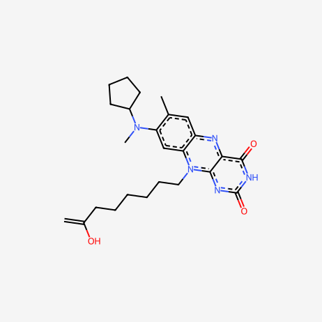 C=C(O)CCCCCCn1c2nc(=O)[nH]c(=O)c-2nc2cc(C)c(N(C)C3CCCC3)cc21